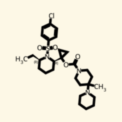 CC[C@@H]1CCC[C@H](C2(OC(=O)N3CCC(C)(N4CCCCC4)CC3)CC2)N1S(=O)(=O)c1ccc(Cl)cc1